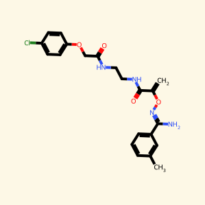 C=C(O/N=C(\N)c1cccc(C)c1)C(=O)NCCNC(=O)COc1ccc(Cl)cc1